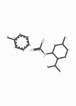 CC1CCC(C(C)C)C(OC(=O)Cl)C1.Cc1ccccc1